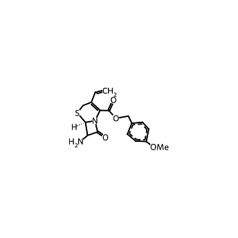 C=CC1=C(C(=O)OCc2ccc(OC)cc2)N2C(=O)C(N)[C@H]2SC1